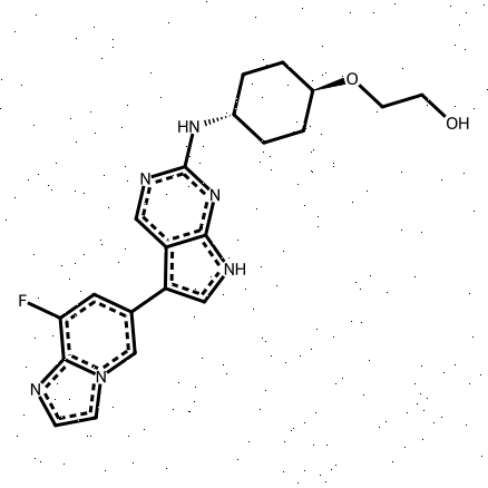 OCCO[C@H]1CC[C@H](Nc2ncc3c(-c4cc(F)c5nccn5c4)c[nH]c3n2)CC1